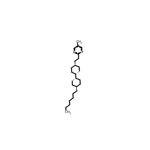 CCCCCCC[C@H]1CC[C@H]([C@H]2CC[C@H](CCc3ncc(C)cn3)CC2)CC1